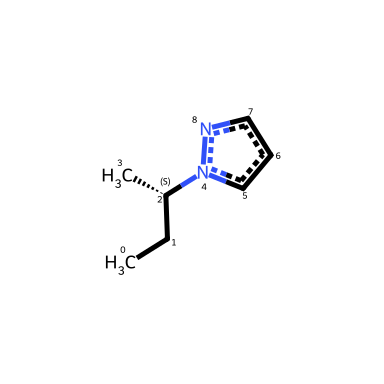 CC[C@H](C)n1cccn1